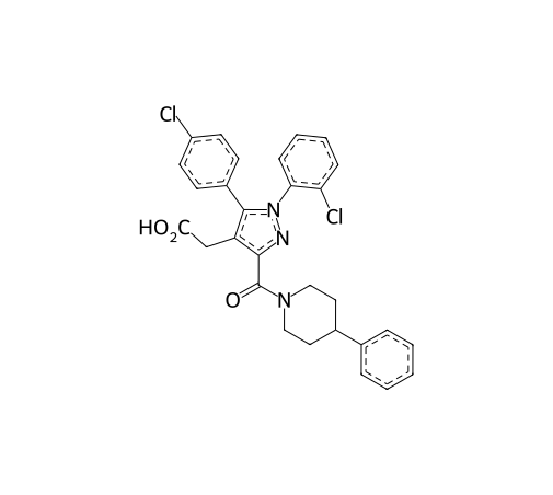 O=C(O)Cc1c(C(=O)N2CCC(c3ccccc3)CC2)nn(-c2ccccc2Cl)c1-c1ccc(Cl)cc1